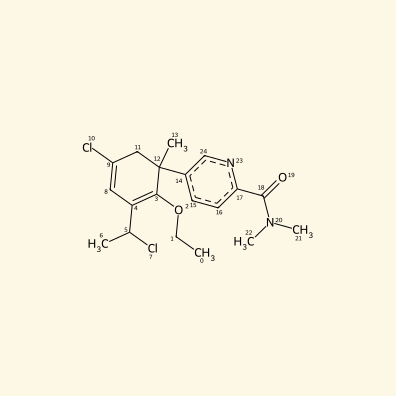 CCOC1=C(C(C)Cl)C=C(Cl)CC1(C)c1ccc(C(=O)N(C)C)nc1